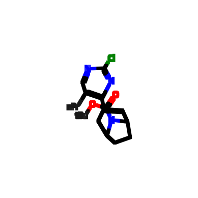 CCCc1cnc(Cl)nc1C1=CC2CCC(C1)N2C(=O)OC(C)(C)C